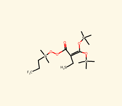 C[Si](C)(C)OC(O[Si](C)(C)C)=C(C[SiH3])C(=O)OO[Si](C)(C)CCC(F)(F)F